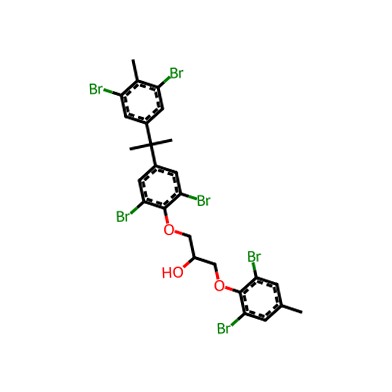 Cc1cc(Br)c(OCC(O)COc2c(Br)cc(C(C)(C)c3cc(Br)c(C)c(Br)c3)cc2Br)c(Br)c1